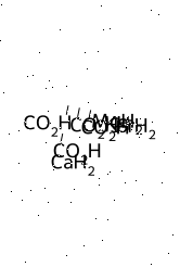 CC(=O)O.CC(=O)O.CC(=O)O.CC(=O)O.[CaH2].[KH].[MgH2].[SrH2]